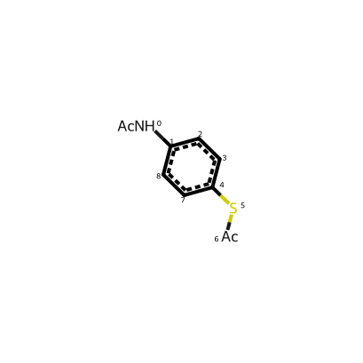 CC(=O)Nc1ccc(SC(C)=O)cc1